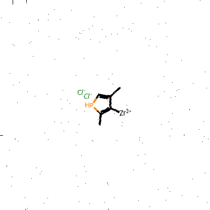 Cc1c[pH]c(C)[c]1[Zr+2].[Cl-].[Cl-]